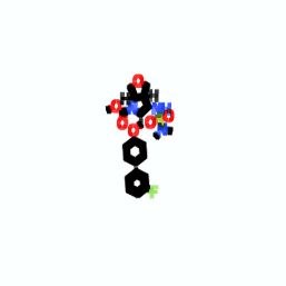 COC(=O)N1[C@@H]2COC[C@@H]2[C@H](NS(=O)(=O)N(C)C)[C@@H]1CO[C@H]1CC[C@@H](c2cccc(F)c2)CC1